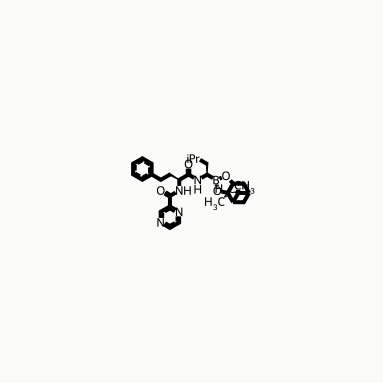 CC(C)C[C@H](NC(=O)[C@H](CCc1ccccc1)NC(=O)c1cnccn1)B1OC2CC3CC(C3(C)C)[C@@]2(C)O1